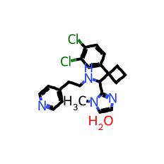 Cn1ccnc1C(NCCc1ccncc1)C1(c2ccc(Cl)c(Cl)c2)CCC1.O